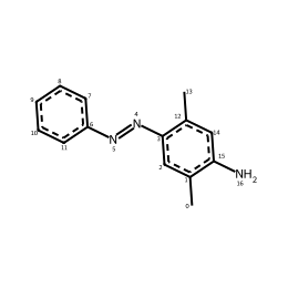 Cc1cc(N=Nc2ccccc2)c(C)cc1N